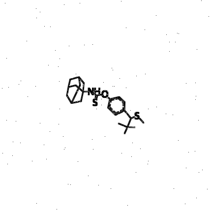 CSC(c1ccc(OC(=S)NC23CC4CC(CC(C4)C2)C3)cc1)C(C)(C)C